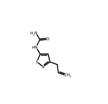 C=CCc1cc(NC(N)=O)sn1